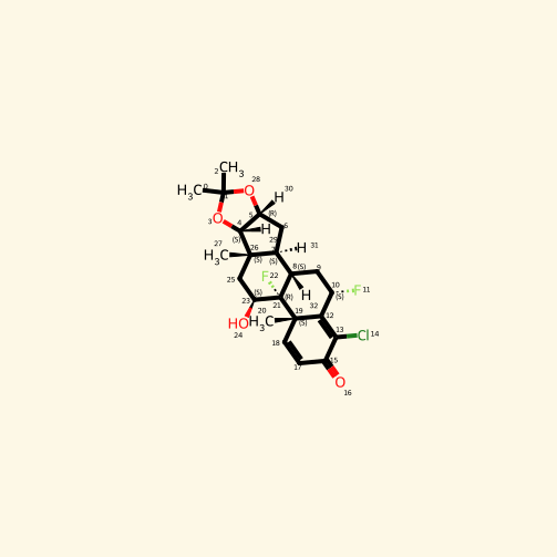 CC1(C)O[C@@H]2[C@@H](C[C@H]3[C@@H]4C[C@H](F)C5=C(Cl)C(=O)C=C[C@]5(C)[C@@]4(F)[C@@H](O)C[C@]23C)O1